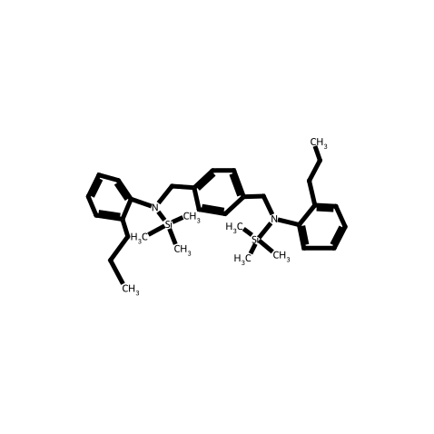 CCCc1ccccc1N(Cc1ccc(CN(c2ccccc2CCC)[Si](C)(C)C)cc1)[Si](C)(C)C